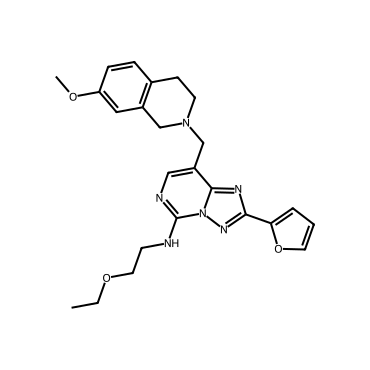 CCOCCNc1ncc(CN2CCc3ccc(OC)cc3C2)c2nc(-c3ccco3)nn12